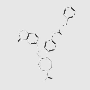 O=C(Nc1ccc([C@@H]2CCN(C(=O)O)CC[C@H]2COc2ccc3c(c2)C(=O)NC3)cc1)OCc1ccccc1